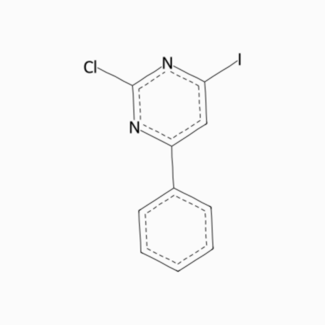 Clc1nc(I)cc(-c2ccccc2)n1